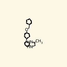 C[C@@H]1CNc2cccc(-c3ccc(OCc4ccccc4)cc3)c2N1